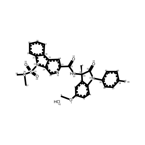 COc1ccc2c(c1)[C@](C)(NC(=O)c1cc3c4ccccc4n(S(=O)(=O)N(C)C)c3cn1)C(=O)N2c1ccc(F)cc1.Cl